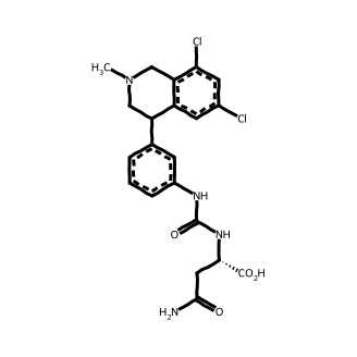 CN1Cc2c(Cl)cc(Cl)cc2C(c2cccc(NC(=O)N[C@@H](CC(N)=O)C(=O)O)c2)C1